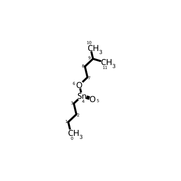 CCC[CH2][Sn](=[O])[O]CCC(C)C